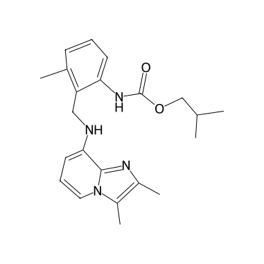 Cc1cccc(NC(=O)OCC(C)C)c1CNc1cccn2c(C)c(C)nc12